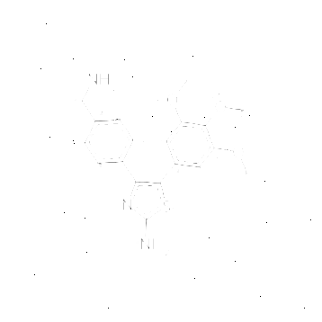 COc1cc(-c2sc(N)nc2-c2ccc(CN)cc2)cc(OC)c1OC